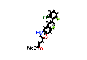 COC(=O)CCC1CNc2cc(/C=C(\C)c3c(F)cccc3Cl)c(F)cc2O1